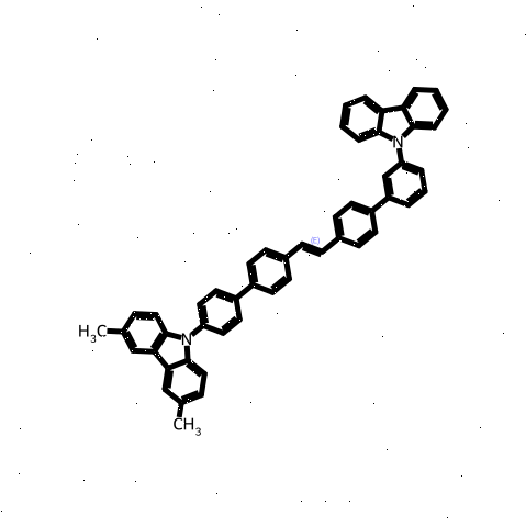 Cc1ccc2c(c1)c1cc(C)ccc1n2-c1ccc(-c2ccc(/C=C/c3ccc(-c4cccc(-n5c6ccccc6c6ccccc65)c4)cc3)cc2)cc1